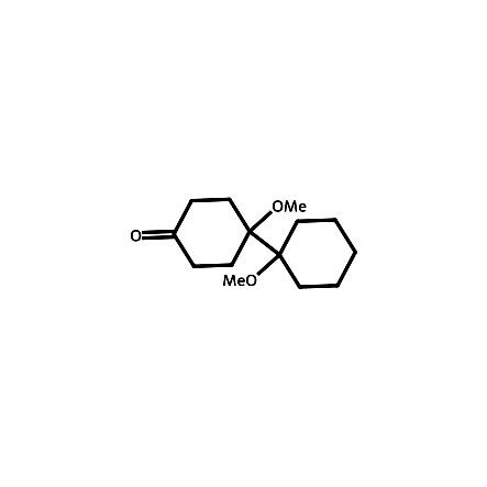 COC1(C2(OC)CCC(=O)CC2)CCCCC1